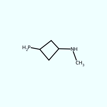 CNC1CC(P)C1